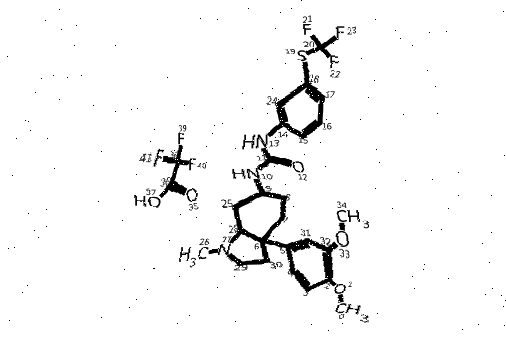 COc1ccc(C23CCC(NC(=O)Nc4cccc(SC(F)(F)F)c4)CC2N(C)CC3)cc1OC.O=C(O)C(F)(F)F